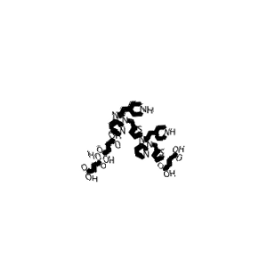 O=C(O)C=CC(=O)O.O=C(O)C=CC(=O)O.O=C(O)C=CC(=O)O.c1csc(Cn2c(CC3CCNCC3)nc3cccnc32)c1.c1csc(Cn2c(CC3CCNCC3)nc3cccnc32)c1